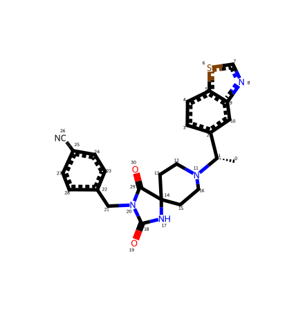 C[C@@H](c1ccc2scnc2c1)N1CCC2(CC1)NC(=O)N(Cc1ccc(C#N)cc1)C2=O